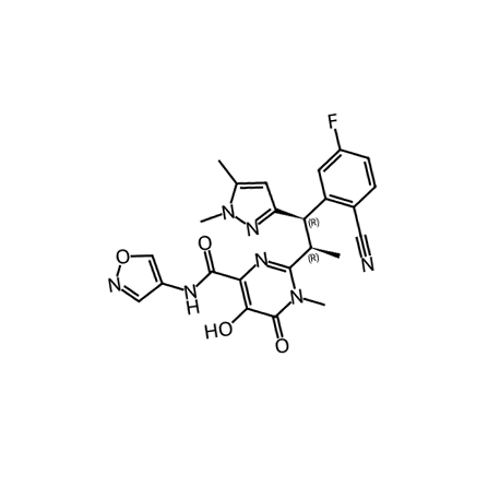 Cc1cc([C@@H](c2cc(F)ccc2C#N)[C@@H](C)c2nc(C(=O)Nc3cnoc3)c(O)c(=O)n2C)nn1C